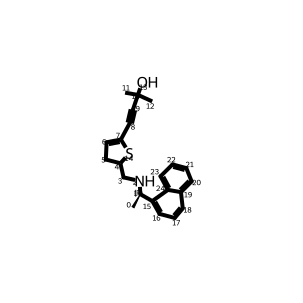 C[C@@H](NCC1CC=C(C#CC(C)(C)O)S1)c1cccc2ccccc12